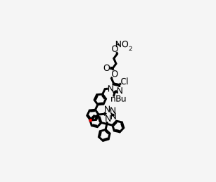 CCCCc1nc(Cl)c(COC(=O)CCCO[N+](=O)[O-])n1Cc1ccc(-c2ccccc2-c2nnnn2C(c2ccccc2)(c2ccccc2)c2ccccc2)cc1